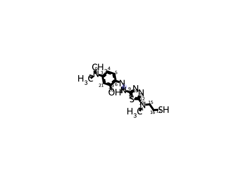 CN(C)c1ccc(/N=N/c2nnc(N(C)CCS)s2)c(O)c1